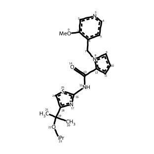 COc1cnccc1Cn1cccc1C(=O)Nc1nc(C(C)(C)OC(C)C)cs1